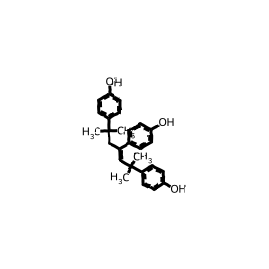 CC(C)(/C=C(/CC(C)(C)c1ccc(O)cc1)c1ccc(O)cc1)c1ccc(O)cc1